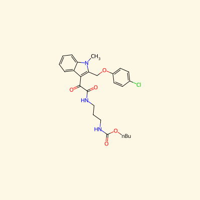 CCCCOC(=O)NCCCNC(=O)C(=O)c1c(COc2ccc(Cl)cc2)n(C)c2ccccc12